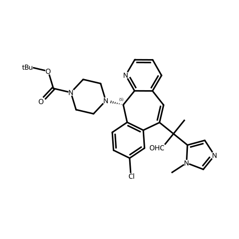 Cn1cncc1C(C)(C=O)C1=Cc2cccnc2[C@@H](N2CCN(C(=O)OC(C)(C)C)CC2)c2ccc(Cl)cc21